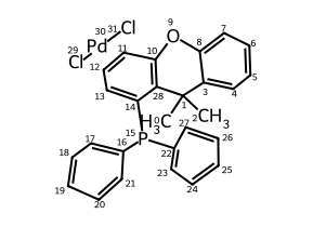 CC1(C)c2ccccc2Oc2cccc(P(c3ccccc3)c3ccccc3)c21.[Cl][Pd][Cl]